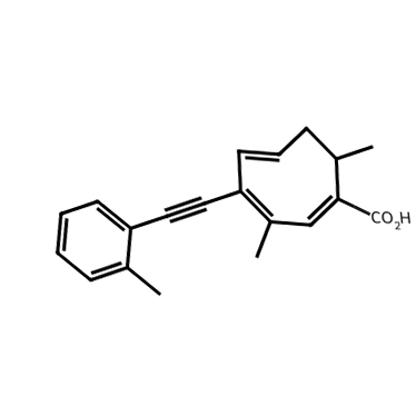 CC1=C(C#Cc2ccccc2C)/C=C/CC(C)/C(C(=O)O)=C\1